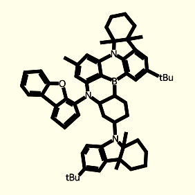 Cc1cc2c3c(c1)N1c4c(cc(C(C)(C)C)cc4C4(C)CCCCC14C)B3C1CCC(N3c4ccc(C(C)(C)C)cc4C4(C)CCCCC34C)CC1N2c1cccc2c1oc1ccccc12